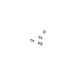 [Ag].[Er].[Te].[Te]